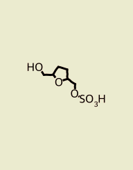 O=S(=O)(O)OCC1CCC(CO)O1